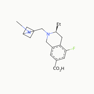 CC[C@H]1Cc2c(F)cc(C(=O)O)cc2CN1CC12CC(C1)N(C)C2